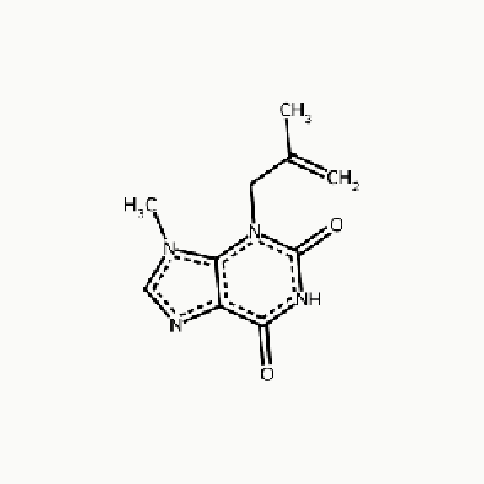 C=C(C)Cn1c(=O)[nH]c(=O)c2ncn(C)c21